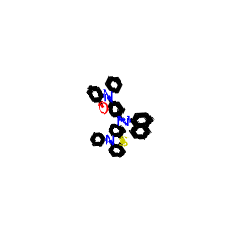 c1ccc(N2c3ccccc3Oc3cc(N(c4ccc5c(c4)Sc4ccccc4N5c4ccccc4)c4cccc5ccccc45)ccc32)cc1